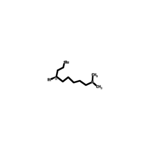 CC[C@H](CCCCCN(C)C)CCC(C)(C)C